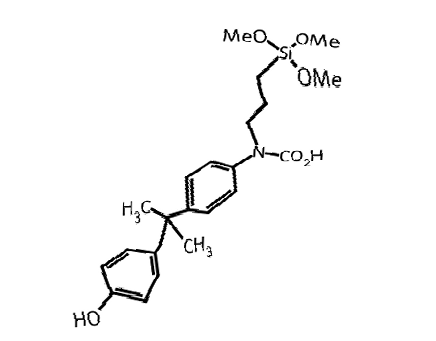 CO[Si](CCCN(C(=O)O)c1ccc(C(C)(C)c2ccc(O)cc2)cc1)(OC)OC